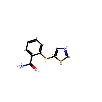 NC(=O)c1ccccc1Sc1cncs1